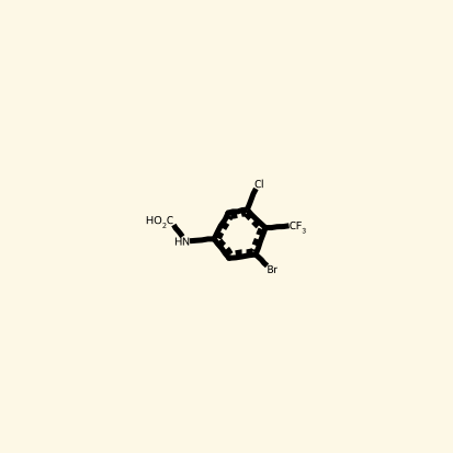 O=C(O)Nc1cc(Cl)c(C(F)(F)F)c(Br)c1